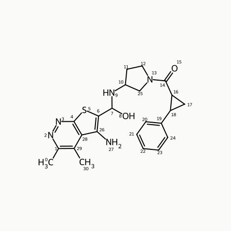 Cc1nnc2sc(C(O)NC3CCN(C(=O)C4CC4c4ccccc4)C3)c(N)c2c1C